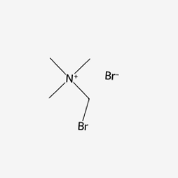 C[N+](C)(C)CBr.[Br-]